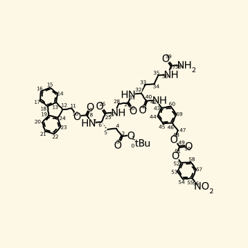 CC(C)(C)OC(=O)CC[C@H](NC(=O)OCC1c2ccccc2-c2ccccc21)C(=O)NCC(=O)N[C@@H](CCCNC(N)=O)C(=O)Nc1ccc(COC(=O)Oc2ccc([N+](=O)[O-])cc2)cc1